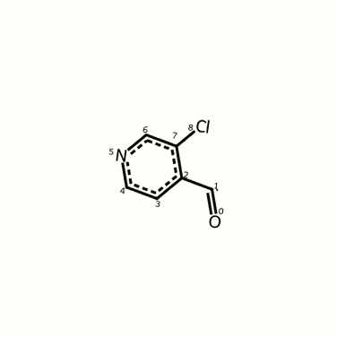 O=[C]c1ccncc1Cl